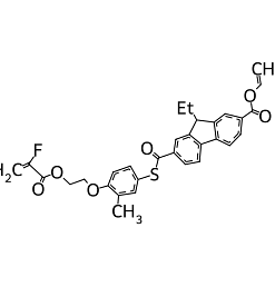 C=COC(=O)c1ccc2c(c1)C(CC)c1cc(C(=O)Sc3ccc(OCCOC(=O)C(=C)F)c(C)c3)ccc1-2